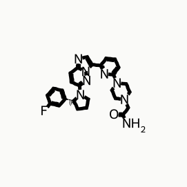 NC(=O)CN1CCN(c2cccc(-c3cnc4ccc(N5CCC[C@@H]5c5cccc(F)c5)nn34)n2)CC1